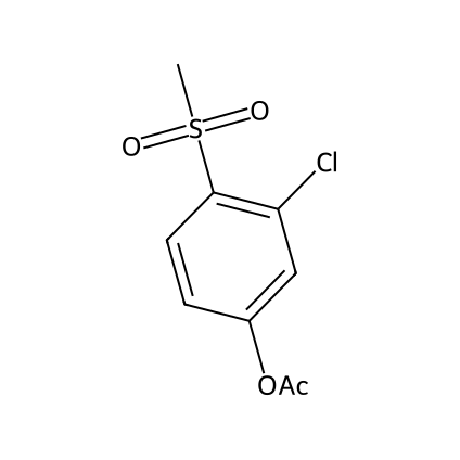 CC(=O)Oc1ccc(S(C)(=O)=O)c(Cl)c1